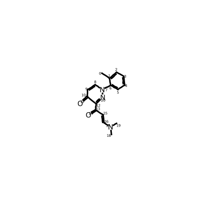 Cc1ccccc1-n1ccc(=O)c(C(=O)C=CN(C)C)n1